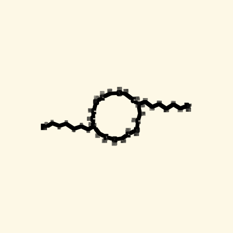 BrCCCCCCN1CCOCCOCCN(CCCCCCBr)CCOCCOCC1